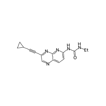 CCNC(=O)Nc1ccc2ncc(C#CC3CC3)nc2n1